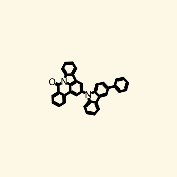 O=c1c2ccccc2c2cc(-n3c4ccccc4c4cc(-c5ccccc5)ccc43)cc3c4ccccc4n1c23